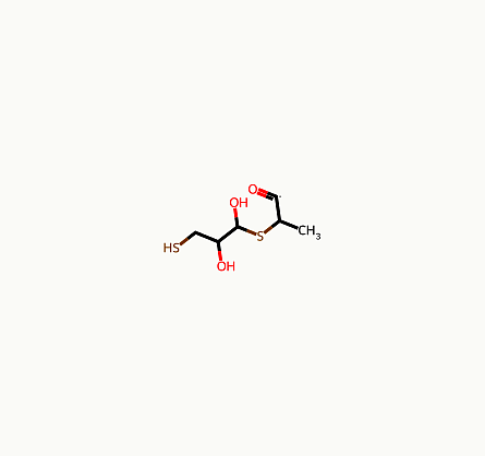 CC([C]=O)SC(O)C(O)CS